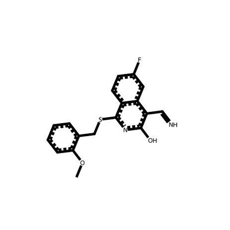 COc1ccccc1CSc1nc(O)c(C=N)c2cc(F)ccc12